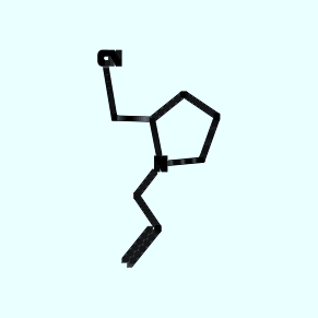 C=CCN1CCCC1CC#N